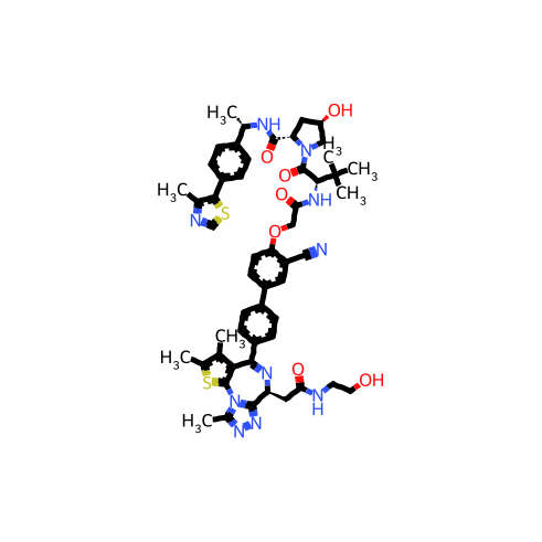 Cc1ncsc1-c1ccc([C@H](C)NC(=O)[C@@H]2C[C@@H](O)CN2C(=O)[C@@H](NC(=O)COc2ccc(-c3ccc(C4=N[C@@H](CC(=O)NCCO)c5nnc(C)n5-c5sc(C)c(C)c54)cc3)cc2C#N)C(C)(C)C)cc1